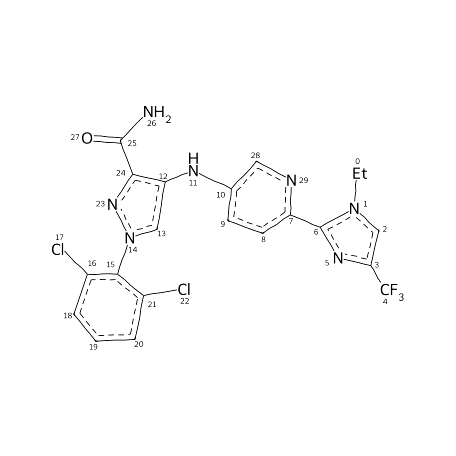 CCn1cc(C(F)(F)F)nc1-c1ccc(Nc2cn(-c3c(Cl)cccc3Cl)nc2C(N)=O)cn1